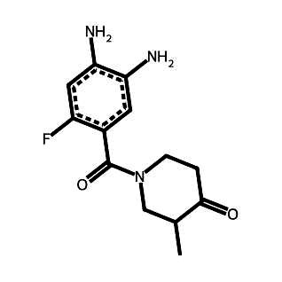 CC1CN(C(=O)c2cc(N)c(N)cc2F)CCC1=O